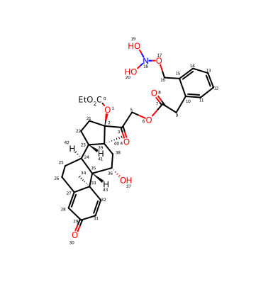 CCOC(=O)O[C@]1(C(=O)COC(=O)Cc2ccccc2CON(O)O)CC[C@H]2[C@@H]3CCC4=CC(=O)C=C[C@]4(C)[C@H]3[C@@H](O)C[C@@]21C